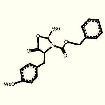 COc1ccc(C[C@H]2C(=O)O[C@@H](C(C)(C)C)N2C(=O)OCc2ccccc2)cc1